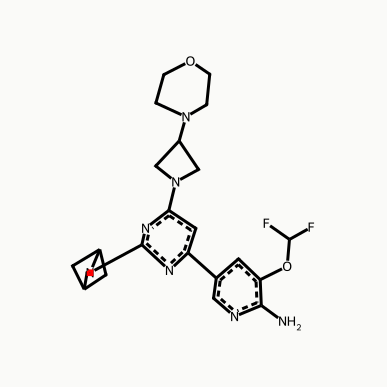 Nc1ncc(-c2cc(N3CC(N4CCOCC4)C3)nc(N3CC4CC3C4)n2)cc1OC(F)F